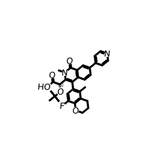 Cc1c(-c2c([C@H](OC(C)(C)C)C(=O)O)n(C)c(=O)c3cc(-c4ccncc4)ccc23)cc(F)c2c1CCCO2